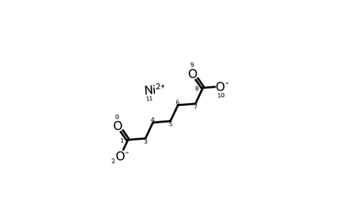 O=C([O-])CCCCCC(=O)[O-].[Ni+2]